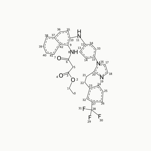 CCOC(=O)CC(=O)Nc1c(Nc2ccc(-n3ccnc3CCc3cccc(C(F)(F)F)c3)cc2)ccc2ccccc12